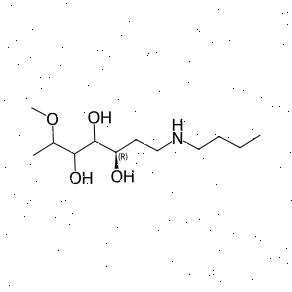 CCCCNCC[C@@H](O)C(O)C(O)C(C)OC